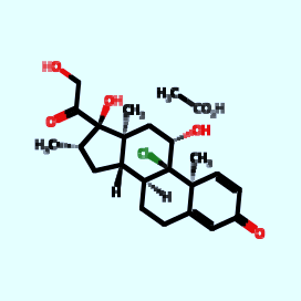 CC(=O)O.C[C@H]1C[C@H]2[C@@H]3CCC4=CC(=O)C=C[C@]4(C)[C@@]3(Cl)[C@@H](O)C[C@]2(C)[C@@]1(O)C(=O)CO